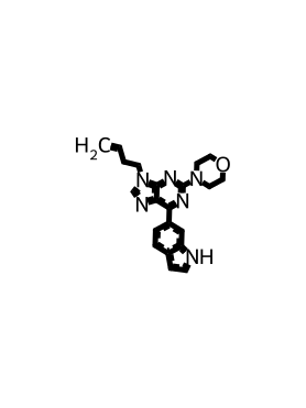 C=CCCn1cnc2c(-c3ccc4cc[nH]c4c3)nc(N3CCOCC3)nc21